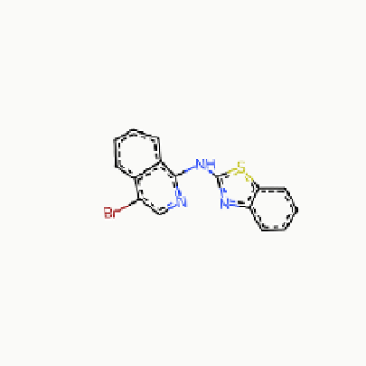 Brc1cnc(Nc2nc3ccccc3s2)c2ccccc12